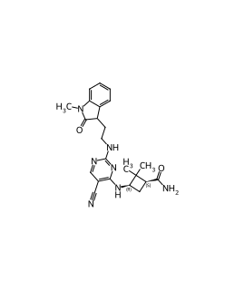 CN1C(=O)C(CCNc2ncc(C#N)c(N[C@@H]3C[C@H](C(N)=O)C3(C)C)n2)c2ccccc21